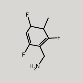 CC1C(F)=C(CN)C(F)=CC1F